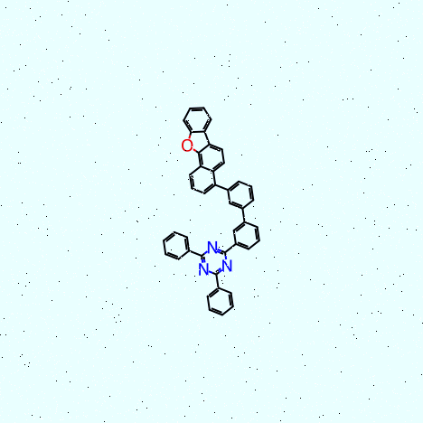 c1ccc(-c2nc(-c3ccccc3)nc(-c3cccc(-c4cccc(-c5cccc6c5ccc5c7ccccc7oc65)c4)c3)n2)cc1